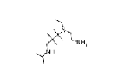 CCN(CCN)C(C)(C)C(C)(C)CNC(C)C